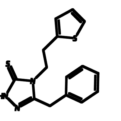 S=c1[nH]nc(Cc2ccccc2)n1CCc1cccs1